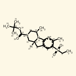 CCS(=O)(=O)c1cc2c(nc1C)N1[C@H](C2)CN(C(=O)OC(C)(C)C)C[C@H]1C